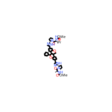 COC(=O)N[C@@H](C)C(=O)N1CCC[C@H]1c1ncc(-c2ccc3c(c2)OC(c2ccccc2)C2=C3COc3cc(-c4cnc([C@@H]5CCCN5C(=O)[C@@H](NC(=O)OC)C(C)C)[nH]4)ccc32)[nH]1